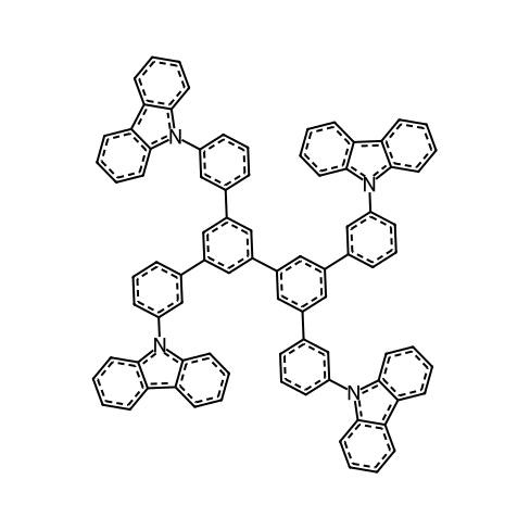 c1cc(-c2cc(-c3cc(-c4cccc(-n5c6ccccc6c6ccccc65)c4)cc(-c4cccc(-n5c6ccccc6c6ccccc65)c4)c3)cc(-c3cccc(-n4c5ccccc5c5ccccc54)c3)c2)cc(-n2c3ccccc3c3ccccc32)c1